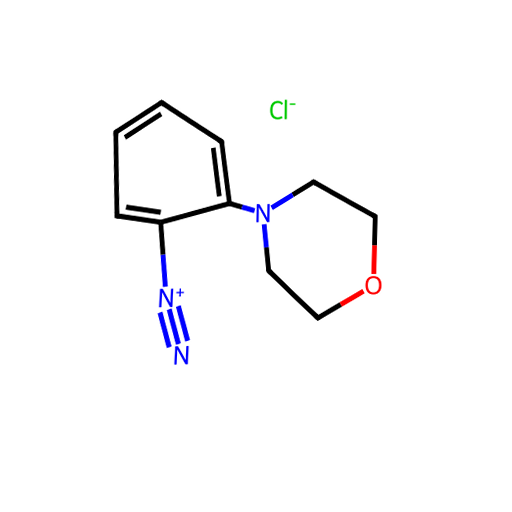 N#[N+]c1ccccc1N1CCOCC1.[Cl-]